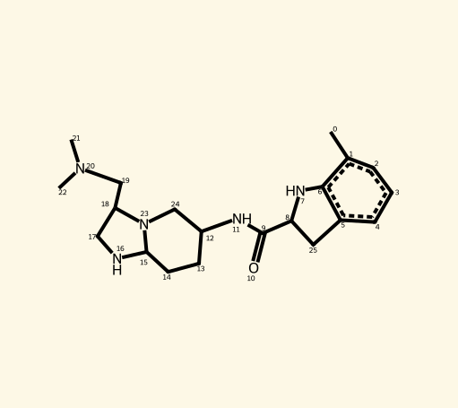 Cc1cccc2c1NC(C(=O)NC1CCC3NCC(CN(C)C)N3C1)C2